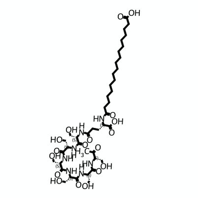 CC(=O)[C@H](CO)NC(=O)[C@H](CO)NC(=O)[C@H](CO)NC(=O)[C@H](CO)NC(=O)[C@H](CO)NC(=O)[C@H](CO)NC(=O)CC[C@H](NC(=O)CCCCCCCCCCCCCCCCC(=O)O)C(=O)O